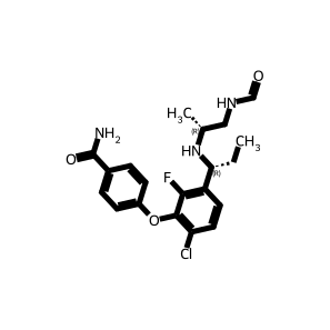 CC[C@@H](N[C@H](C)CNC=O)c1ccc(Cl)c(Oc2ccc(C(N)=O)cc2)c1F